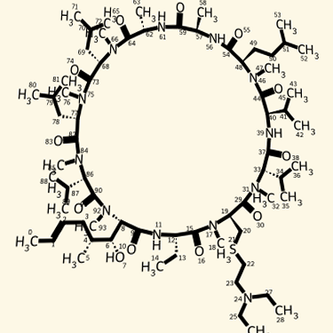 C/C=C/C[C@@H](C)[C@@H](O)[C@H]1C(=O)N[C@@H](CC)C(=O)N(C)[C@H](CSCCN(CC)CC)C(=O)N(C)[C@@H](C(C)C)C(=O)N[C@H](C(C)C)C(=O)N(C)[C@H](CCC(C)C)C(=O)N[C@H](C)C(=O)N[C@@H](C)C(=O)N(C)[C@@H](CC(C)C)C(=O)N(C)[C@@H](CC(C)C)C(=O)N(C)[C@@H](C(C)C)C(=O)N1C